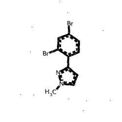 Cn1[c]cc(-c2ccc(Br)cc2Br)n1